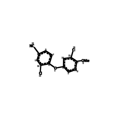 COc1ncc(Oc2ccc(C#N)cc2Cl)cc1Cl